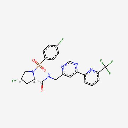 O=C(NCc1cc(-c2cccc(C(F)(F)F)n2)ncn1)[C@@H]1C[C@H](F)CN1S(=O)(=O)c1ccc(F)cc1